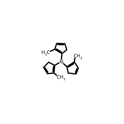 CC1=[C]([Al]([C]2=C(C)C=CC2)[C]2=C(C)C=CC2)CC=C1